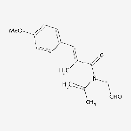 C=C(C)N(CC=O)C(=O)/C(C)=C/c1ccc(OC)cc1